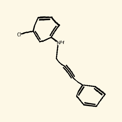 Clc1cccc(NCC#Cc2ccccc2)c1